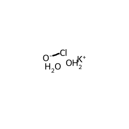 O.O.[K+].[O-]Cl